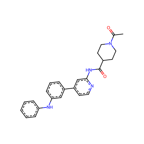 CC(=O)N1CCC(C(=O)Nc2cc(-c3cccc(Nc4ccccc4)c3)ccn2)CC1